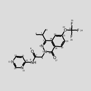 CC(C)c1nn(CC(=O)Nc2ccncn2)c(=O)c2ccc(OC(F)(F)F)cc12